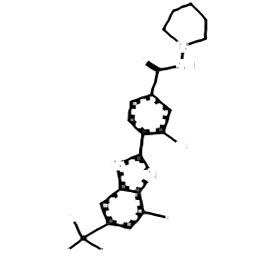 O=C(NN1CCCCC1)c1ccc(-c2nc3c(Cl)cc(C(F)(F)F)cc3[nH]2)c(Br)c1